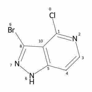 Clc1nccc2[nH]nc(Br)c12